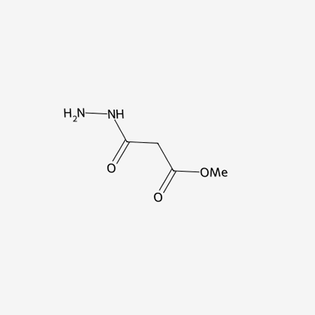 COC(=O)CC(=O)NN